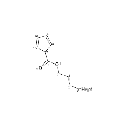 CCCCCCCCCCOC(=O)C1C=CC=C1